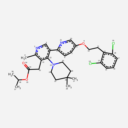 Cc1ncc(-c2ccc(OCCc3c(Cl)cccc3Cl)cn2)c(N2CCC(C)(C)CC2)c1CC(=O)OC(C)C